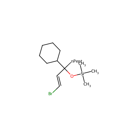 CCCCCC(/C=C/Br)(O[Si](C)(C)C)C1CCCCC1